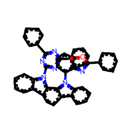 c1ccc(-c2nc(-c3ccccc3)nc(-n3c4ccccc4c4ccc5c6ccccc6n(-c6cccc7oc(-c8ccccc8)nc67)c5c43)n2)cc1